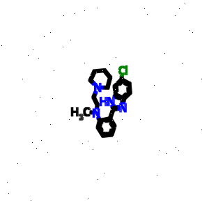 CN(CCN1CCCCC1)c1ccccc1-c1nc2ccc(Cl)cc2[nH]1